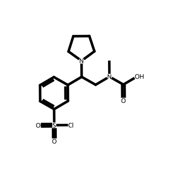 CN(CC(c1cccc(S(=O)(=O)Cl)c1)N1CCCC1)C(=O)O